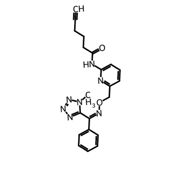 C#CCCCC(=O)Nc1cccc(CO/N=C(/c2ccccc2)c2nnnn2C)n1